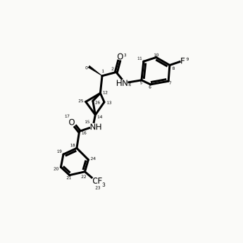 C[C@@H](C(=O)Nc1ccc(F)cc1)C12CC(NC(=O)c3cccc(C(F)(F)F)c3)(C1)C2